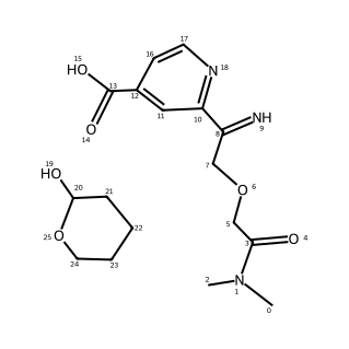 CN(C)C(=O)COCC(=N)c1cc(C(=O)O)ccn1.OC1CCCCO1